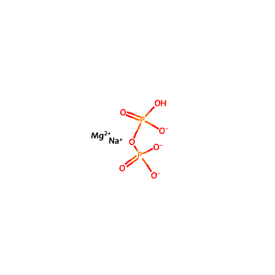 O=P([O-])([O-])OP(=O)([O-])O.[Mg+2].[Na+]